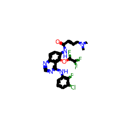 CN(C)C/C=C/C(=O)Nc1ccc2ncnc(Nc3cccc(Cl)c3F)c2c1OC(F)C(F)F